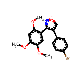 COc1cc(OC)c(-c2nocc2-c2ccc(Br)cc2)cc1OC